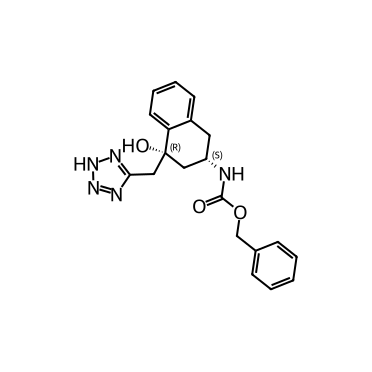 O=C(N[C@H]1Cc2ccccc2[C@](O)(Cc2nn[nH]n2)C1)OCc1ccccc1